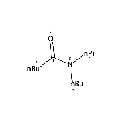 [CH2]CCCC(=O)N(CCC)CCCC